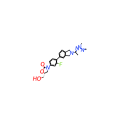 C=NN(C)/N=C(\C)N1Cc2ccc(-c3ccc(N4C[C@H](CO)OC4=O)cc3F)cc2C1